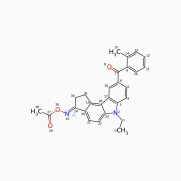 CCn1c2ccc(C(=O)c3ccccc3C)cc2c2c3c(ccc21)/C(=N/OC(C)=O)CC3